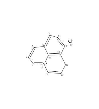 C1=C[n+]2cccc3cccc(c32)C1.[Cl-]